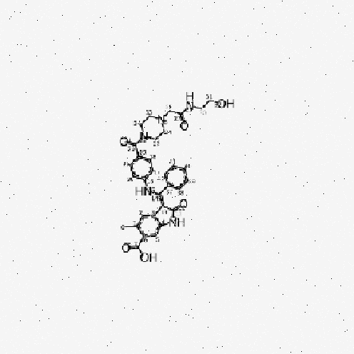 Cc1cc2c(cc1C(=O)O)NC(=O)C2=C(Nc1ccc(C(=O)N2CCN(CC(=O)NCCO)CC2)cc1)c1ccccc1